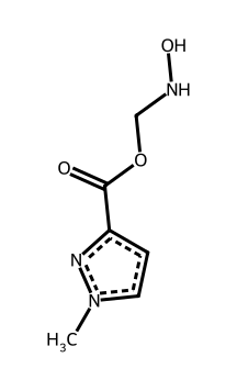 Cn1ccc(C(=O)OCNO)n1